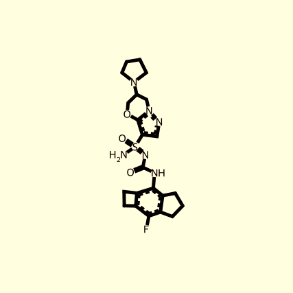 NS(=O)(=NC(=O)Nc1c2c(c(F)c3c1CC3)CCC2)c1cnn2c1OCC(N1CCCC1)C2